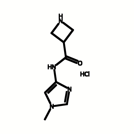 Cl.Cn1cnc(NC(=O)C2CNC2)c1